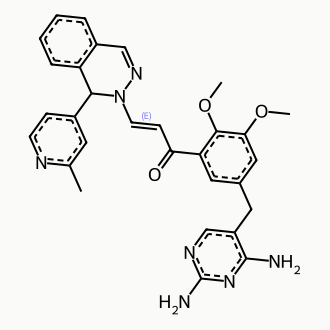 COc1cc(Cc2cnc(N)nc2N)cc(C(=O)/C=C/N2N=Cc3ccccc3C2c2ccnc(C)c2)c1OC